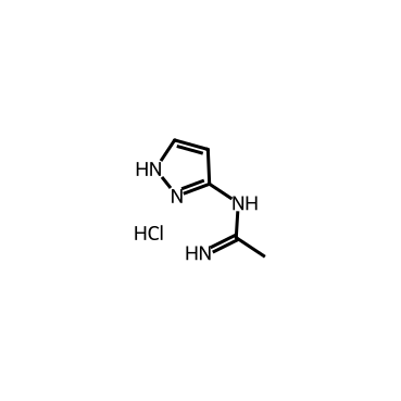 CC(=N)Nc1cc[nH]n1.Cl